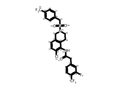 O=C(Cc1ccc(C(F)(F)F)c(F)c1)Nc1c(Cl)ccc2c1CCN(S(=O)(=O)Cc1ccc(C(F)(F)F)cc1)C2